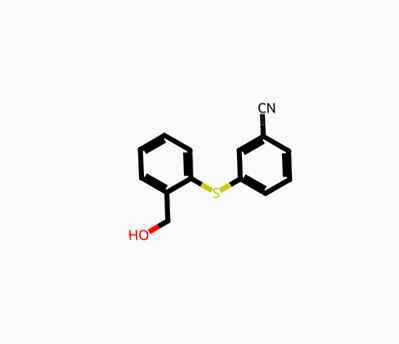 N#Cc1cccc(Sc2ccccc2CO)c1